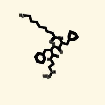 NCCCCCCCC(=O)NC(Cc1ccccc1)C(=O)NC(Cc1ccccc1)C(=O)NCCNC(=O)O